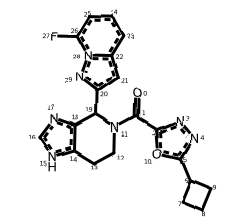 O=C(c1nnc(C2CCC2)o1)N1CCc2[nH]cnc2C1c1cc2cccc(F)n2n1